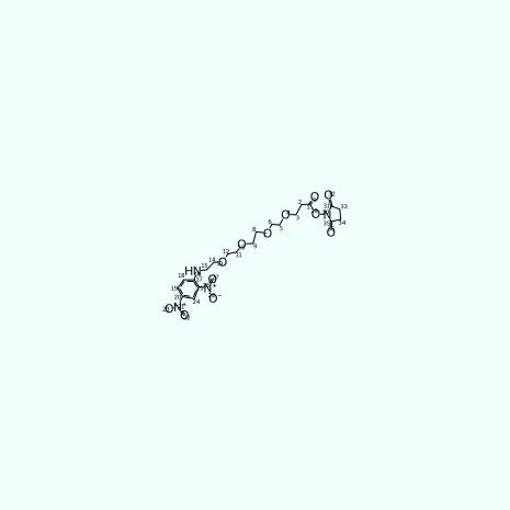 O=C(CCOCCOCCOCCOCCNc1ccc([N+](=O)[O-])cc1[N+](=O)[O-])ON1C(=O)CCC1=O